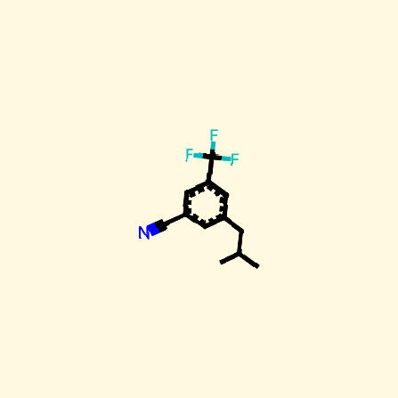 CC(C)Cc1cc(C#N)cc(C(F)(F)F)c1